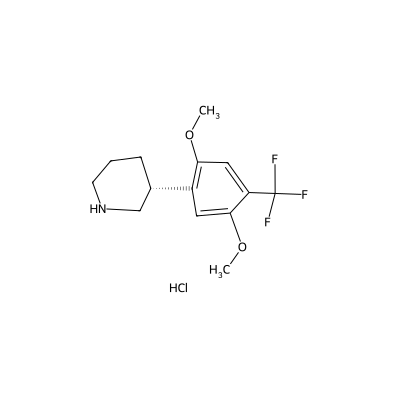 COc1cc(C(F)(F)F)c(OC)cc1[C@H]1CCCNC1.Cl